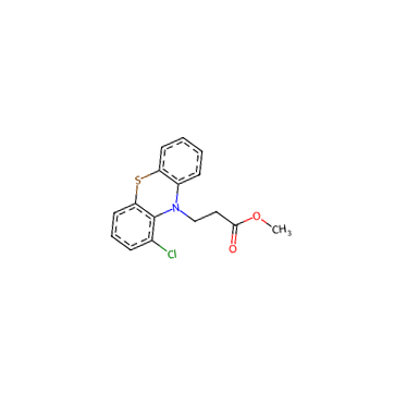 COC(=O)CCN1c2ccccc2Sc2cccc(Cl)c21